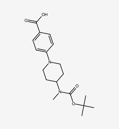 CN(C(=O)OC(C)(C)C)C1CCN(c2ccc(C(=O)O)cc2)CC1